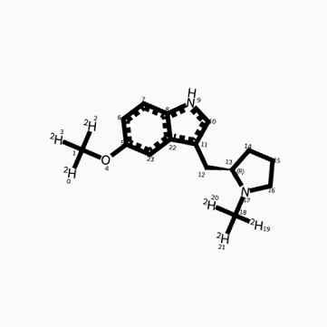 [2H]C([2H])([2H])Oc1ccc2[nH]cc(C[C@H]3CCCN3C([2H])([2H])[2H])c2c1